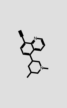 C#Cc1ccc(C2CC(C)CN(C)C2)c2cccnc12